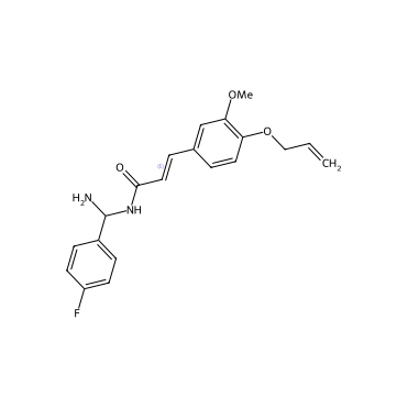 C=CCOc1ccc(/C=C/C(=O)NC(N)c2ccc(F)cc2)cc1OC